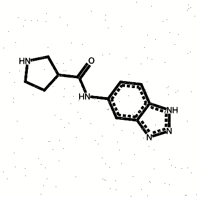 O=C(Nc1ccc2[nH]nnc2c1)C1CCNC1